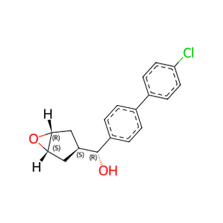 O[C@@H](c1ccc(-c2ccc(Cl)cc2)cc1)[C@H]1C[C@@H]2O[C@@H]2C1